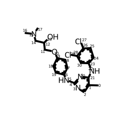 Cc1cnc(Nc2ccc(OCC(O)CN(C)C)cc2)nc1Nc1ccc(Cl)c(Cl)c1